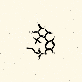 CCCS(=O)(=O)Nc1cc(-c2c(C(F)(F)F)n(N)c(=O)[nH]c2=O)c(F)cc1Cl